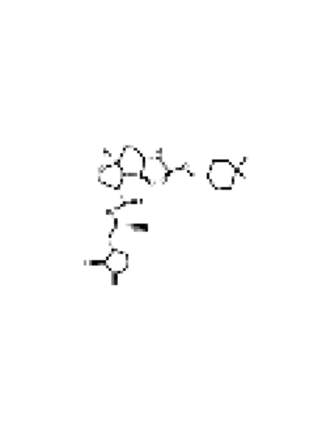 C#C[C@H](C[C@@H]1CCNC1=O)NC(=O)[C@@H]1CS[C@H]2CC[C@H](NC(=O)OCC3CCC(F)(F)CC3)C(=O)N21